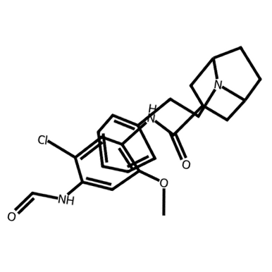 COc1cc(NC=O)c(Cl)cc1NC(=O)C1CC2CCC(C1)N2CCc1ccccc1